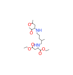 CCOC(=O)CC(NCC(C)CCCNC(CC(C)=O)C(C)=O)C(=O)OCC